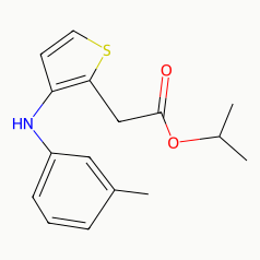 Cc1cccc(Nc2ccsc2CC(=O)OC(C)C)c1